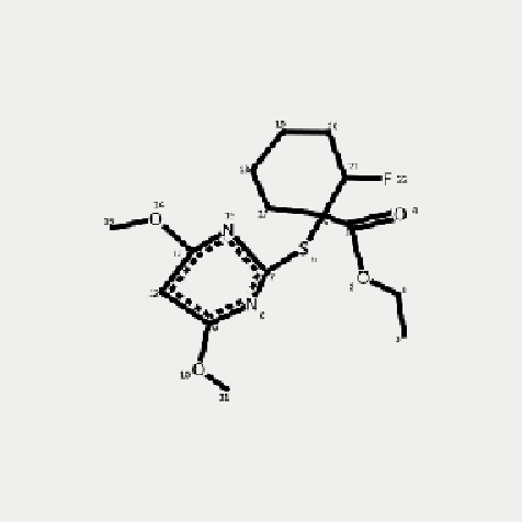 CCOC(=O)C1(Sc2nc(OC)cc(OC)n2)CCCCC1F